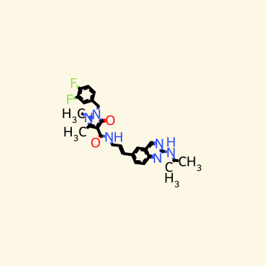 Cc1c(C(=O)NCC=Cc2ccc3nc(NC(C)C)ncc3c2)c(=O)n(Cc2ccc(F)c(F)c2)n1C